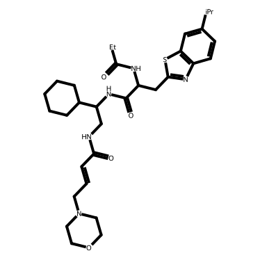 CCC(=O)NC(Cc1nc2ccc(C(C)C)cc2s1)C(=O)NC(CNC(=O)/C=C/CN1CCOCC1)C1CCCCC1